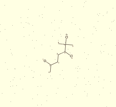 CC([O])CCC(Cl)C(C)(C)Cl